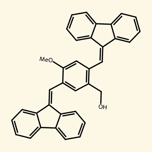 COc1cc(C=C2c3ccccc3-c3ccccc32)c(CO)cc1C=C1c2ccccc2-c2ccccc21